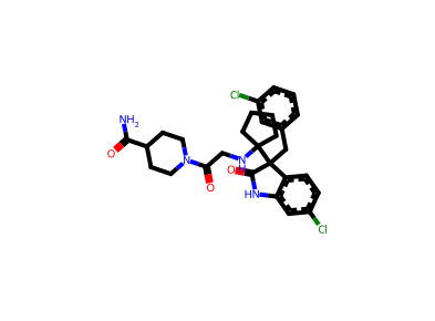 NC(=O)C1CCN(C(=O)CNC2(C3(Cc4cccc(Cl)c4)C(=O)Nc4cc(Cl)ccc43)CCCC2)CC1